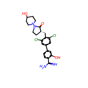 N=C(N)c1ccc(-c2cc(Cl)c(C[C@@H]3CCN(N4CCC(O)CC4)C3=O)c(Cl)c2)cc1O